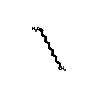 C=[C]CCCCCCCCCCC